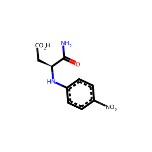 NC(=O)[C@H](CC(=O)O)Nc1ccc([N+](=O)[O-])cc1